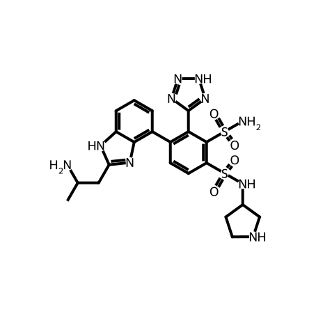 CC(N)Cc1nc2c(-c3ccc(S(=O)(=O)NC4CCNC4)c(S(N)(=O)=O)c3-c3nn[nH]n3)cccc2[nH]1